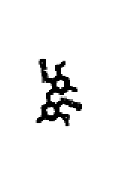 COc1cc(C)cc(Cc2cc(C)cc(OC)c2N=C=O)c1N=C=O